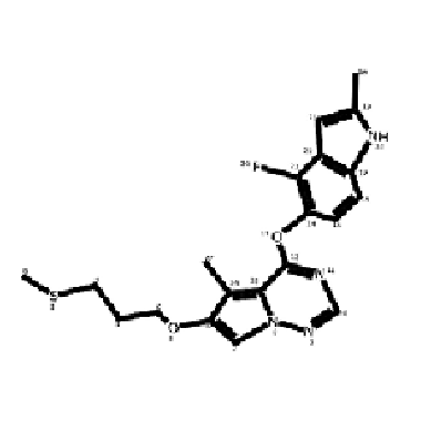 CSCCCOc1cn2ncnc(Oc3ccc4[nH]c(C)cc4c3F)c2c1C